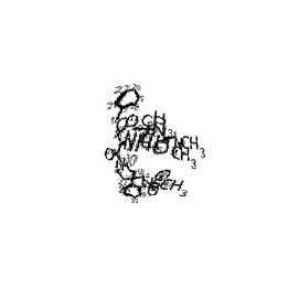 CN(C)CC(=O)NC(C)(C)C(=O)N[C@H](COCc1ccccc1)C(=O)N1CCC2(CC1)CN(S(C)(=O)=O)c1ccccc12